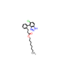 CCCCCCCCOC(=O)CCc1ccccc1-c1c(Cl)ccc2[nH]nnc12